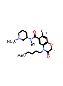 COCCCCN1C(=O)[C@@H](C)Oc2cc(C(F)(F)F)c(C(=O)N(C(C)C)[C@@H]3CCCN(C(=O)O)C3)cc21